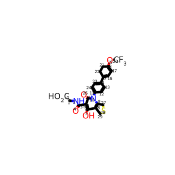 O=C(O)CNC(=O)c1c(O)c2c(n(-c3ccc(C4=CC=C(OC(F)(F)F)CC4)cc3)c1=O)CSC2